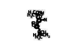 CC.CC(C)[Si](C)(C)OCc1cccc(-c2cc(C#N)cc(CN(C(=O)O)C(C)(C)C)c2)c1